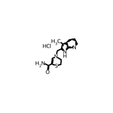 Cc1c(CN2C=C(C(N)=O)SCC2)[nH]c2ncccc12.Cl